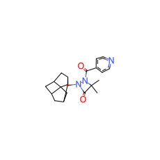 CC1(C)C(=O)N(C2C3CC4CC5CC2CC45C3)N1C(=O)c1ccncc1